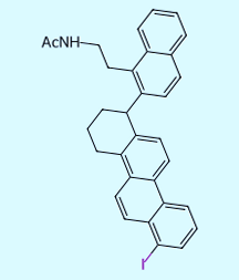 CC(=O)NCCc1c(C2CCCc3c2ccc2c3ccc3c(I)cccc32)ccc2ccccc12